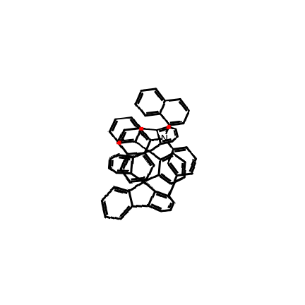 c1cc(-c2cccc3c2C2(c4ccccc4-3)c3ccccc3C3(c4ccccc4-c4ccccc43)c3ccccc32)cc(N(c2cccc3ccccc23)c2cccc3ccccc23)c1